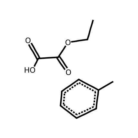 CCOC(=O)C(=O)O.Cc1ccccc1